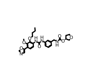 CCCCOc1c(NC(=O)Nc2cccc(CNC(=O)O[C@H]3CCOC3)c2)ccc(-c2cnco2)c1OC